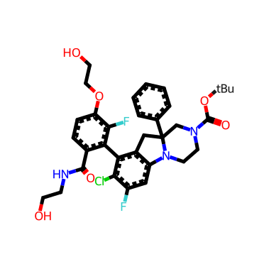 CC(C)(C)OC(=O)N1CCN2c3cc(F)c(Cl)c(-c4c(C(=O)NCCO)ccc(OCCO)c4F)c3CC2(c2ccccc2)C1